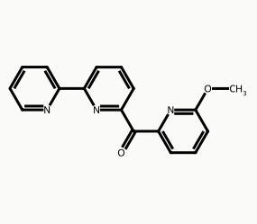 COc1cccc(C(=O)c2cccc(-c3ccccn3)n2)n1